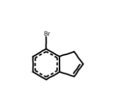 Brc1c[c]cc2c1CC=C2